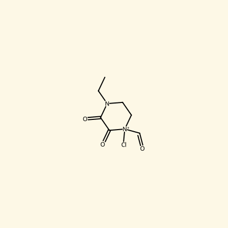 CCN1CC[N+](Cl)(C=O)C(=O)C1=O